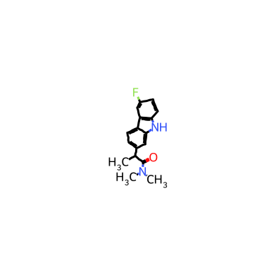 CC(C(=O)N(C)C)c1ccc2c(c1)[nH]c1ccc(F)cc12